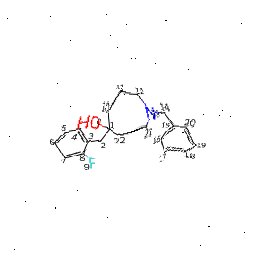 OC1(Cc2ccccc2F)CCCN(Cc2ccccc2)CC1